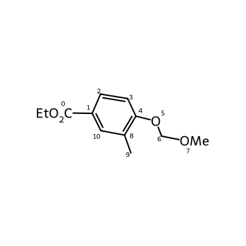 CCOC(=O)c1ccc(OCOC)c(C)c1